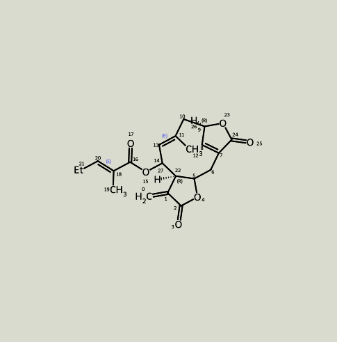 C=C1C(=O)OC2CC3=C[C@@H](C/C(C)=C/C(OC(=O)/C(C)=C/CC)[C@H]12)OC3=O